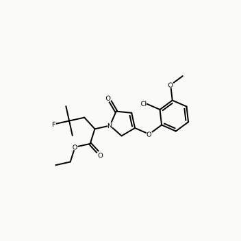 CCOC(=O)C(CC(C)(C)F)N1CC(Oc2cccc(OC)c2Cl)=CC1=O